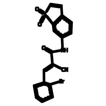 N#C/C(=C\c1ccccc1Br)C(=O)Nc1ccc2c(c1)S(=O)(=O)C=C2